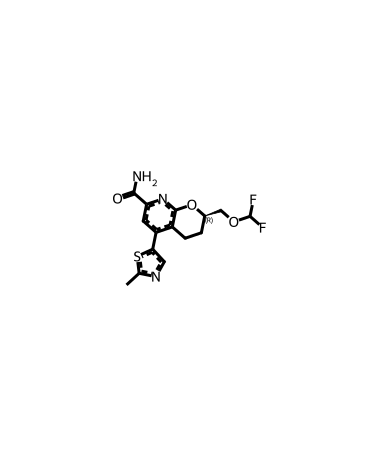 Cc1ncc(-c2cc(C(N)=O)nc3c2CC[C@H](COC(F)F)O3)s1